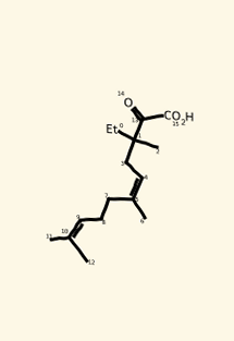 CCC(C)(CC=C(C)CCC=C(C)C)C(=O)C(=O)O